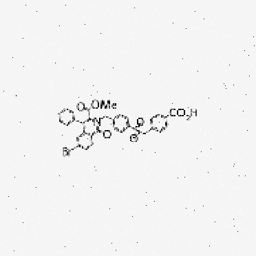 COC(=O)c1c(-c2ccccc2)c2cc(Br)ccc2c(=O)n1Cc1ccc(S(=O)(=O)Cc2ccc(C(=O)O)cc2)cc1